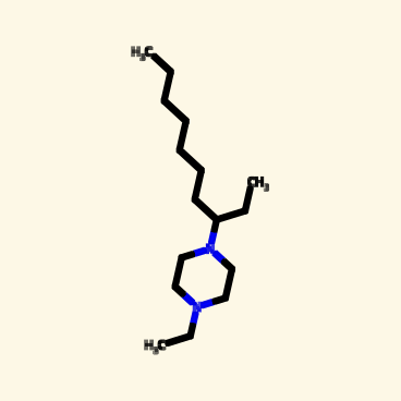 CCCCCCCC(CC)N1CCN(CC)CC1